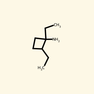 CCC1CCC1(N)CC